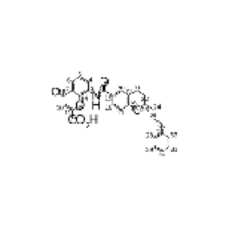 O=C(Nc1cccc2c(=O)cc(C(=O)O)oc12)c1ccc2c(c1)CCC(CCCc1ccccc1)O2